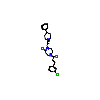 O=C(C=Cc1cccc(Cl)c1)N1CCC(=O)N(CCN2CCC(c3ccccc3)CC2)CC1